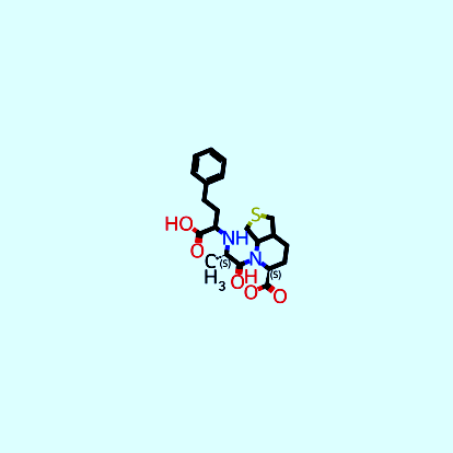 C[C@H](NC(CCc1ccccc1)C(=O)O)C(=O)N1C2CSCC2CC[C@H]1C(=O)O